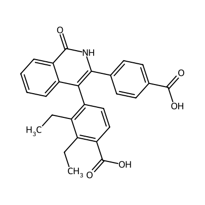 CCc1c(C(=O)O)ccc(-c2c(-c3ccc(C(=O)O)cc3)[nH]c(=O)c3ccccc23)c1CC